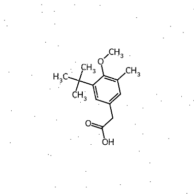 COc1c(C)cc(CC(=O)O)cc1C(C)(C)C